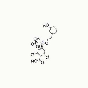 O=C(O)c1c(Cl)cc(/C(=C\P(=O)(O)O)OCCc2cccc(O)c2)cc1Cl